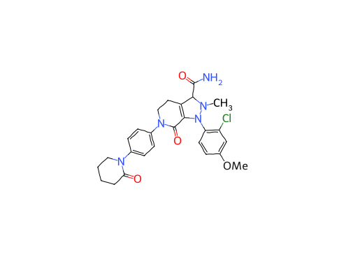 COc1ccc(N2C3=C(CCN(c4ccc(N5CCCCC5=O)cc4)C3=O)C(C(N)=O)N2C)c(Cl)c1